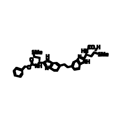 CSCC[C@H](NC(=O)O)c1nc2cc(CCc3ccc4nc([C@H](CCSC)NC(=O)OCc5ccccc5)[nH]c4c3)ccc2[nH]1